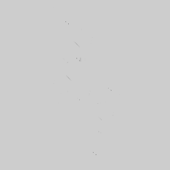 CN1CCN(c2ccc(N)c(C(=O)Nc3cc(C(=O)Nc4cc(F)cc(N5CCOCC5)c4)ccc3Cl)c2)CC1